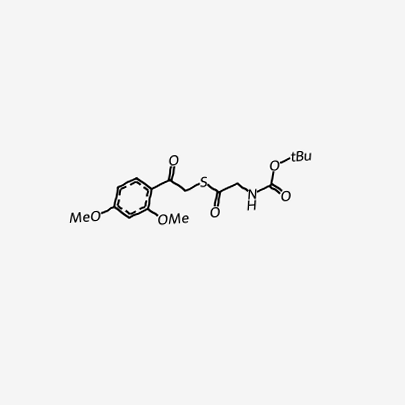 COc1ccc(C(=O)CSC(=O)CNC(=O)OC(C)(C)C)c(OC)c1